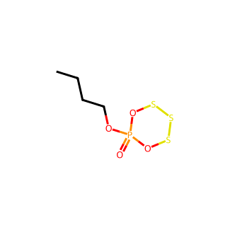 CCCCOP1(=O)OSSSO1